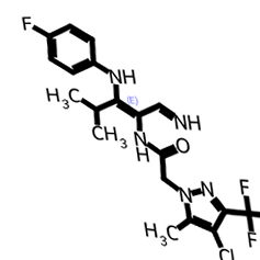 Cc1c(Cl)c(C(F)(F)F)nn1CC(=O)N/C(C=N)=C(/Nc1ccc(F)cc1)C(C)C